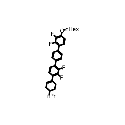 CCCCCCOc1ccc(-c2ccc(-c3ccc(C4=CCC(CCC)CC4)c(F)c3F)cc2)c(F)c1F